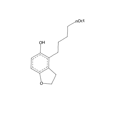 CCCCCCCCCCCCc1c(O)ccc2c1CCO2